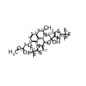 COC(=O)COc1ccc(CC(C)N2CC(c3csc(C(F)(F)F)n3)OC(O)(c3csc(C(F)(F)F)n3)C2)cc1